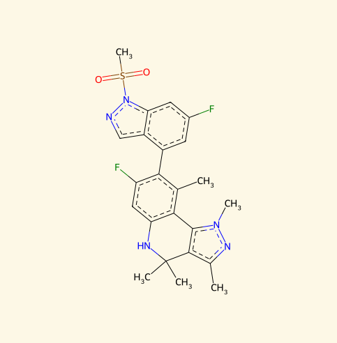 Cc1nn(C)c2c1C(C)(C)Nc1cc(F)c(-c3cc(F)cc4c3cnn4S(C)(=O)=O)c(C)c1-2